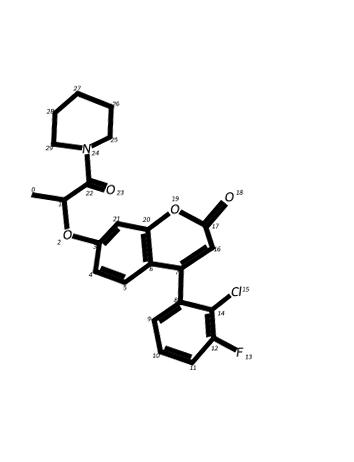 CC(Oc1ccc2c(-c3cccc(F)c3Cl)cc(=O)oc2c1)C(=O)N1CCCCC1